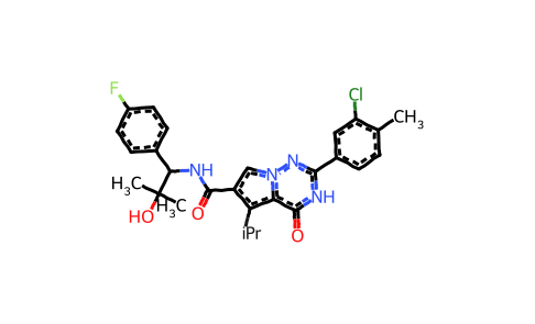 Cc1ccc(-c2nn3cc(C(=O)NC(c4ccc(F)cc4)C(C)(C)O)c(C(C)C)c3c(=O)[nH]2)cc1Cl